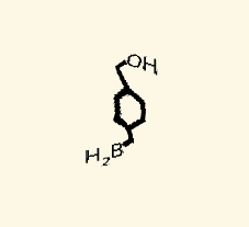 BCC1CCC(CO)CC1